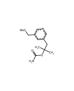 CSCc1cncc(CC(C)(C)OC(N)=O)c1